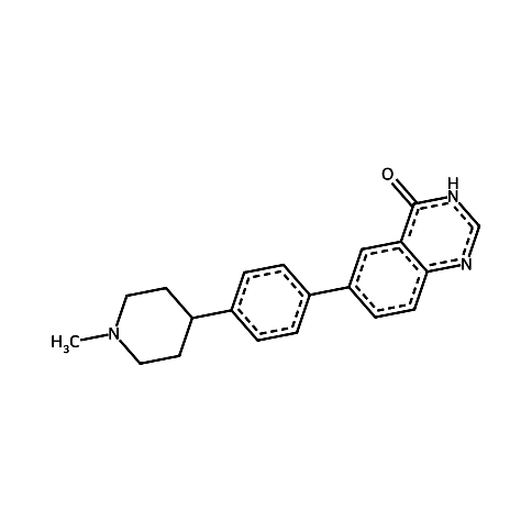 CN1CCC(c2ccc(-c3ccc4nc[nH]c(=O)c4c3)cc2)CC1